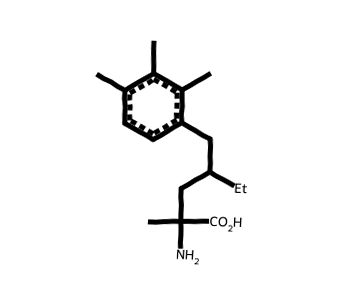 CCC(Cc1ccc(C)c(C)c1C)CC(C)(N)C(=O)O